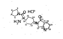 Cl.N[C@H](C(=O)N1CCCC1)[C@H]1CC[C@H](N2Cc3ncccc3C2=O)CC1